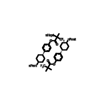 CCCCCCCC(C)(C(=O)Oc1ccc([C@H]2CC[C@H](CCCCC)CC2)cc1)C(F)(F)F.CCCCC[C@H]1CC[C@H](c2ccc(OC(=O)C(C)(C)C(F)(F)F)cc2)CC1